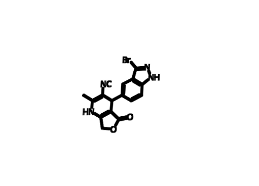 [C-]#[N+]C1=C(C)NC2=C(C(=O)OC2)C1c1ccc2[nH]nc(Br)c2c1